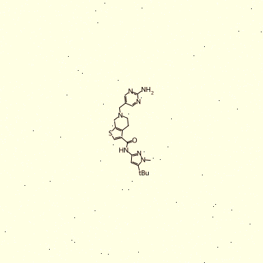 Cn1nc(NC(=O)c2csc3c2CCN(Cc2cnc(N)nc2)C3)cc1C(C)(C)C